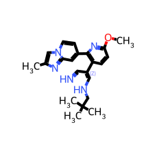 COc1ccc(/C(C=N)=C/NCC(C)(C)C)c(-c2ccn3cc(C)nc3c2)n1